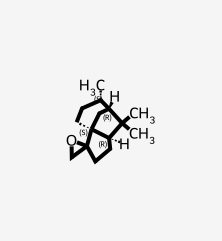 C[C@H]1CC[C@]23C[C@H]1C(C)(C)[C@H]2CCC31CO1